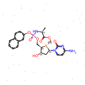 CC(C)OC(=O)[C@H](C)NP(=O)(OC[C@H]1S[C@@H](n2ccc(N)nc2=O)C[C@H]1O)Oc1ccc2ccccc2c1